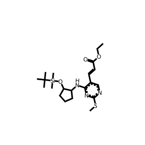 CCOC(=O)C=Cc1cnc(SC)nc1NC1CCCC1O[Si](C)(C)C(C)(C)C